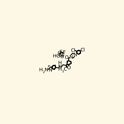 Cc1oc2ccc(C(=O)N3CCN(c4ccc(Cl)cc4Cl)CC3)cc2c1CCNCc1ccc2sc(N)nc2c1.O=S(=O)(O)C(F)(F)F